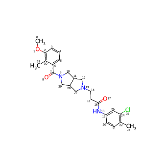 COc1cccc(C(=O)N2CC3CN(CCC(=O)Nc4ccc(C)c(Cl)c4)CC3C2)c1C